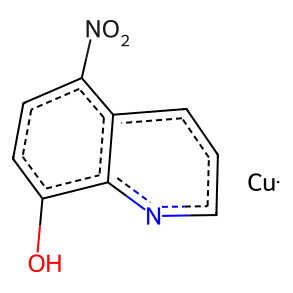 O=[N+]([O-])c1ccc(O)c2ncccc12.[Cu]